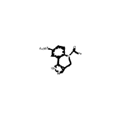 CCC(=O)N1Cc2cn[nH]c2-c2cc(NC(C)=O)ccc21